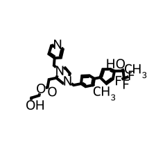 Cc1cc(CN2CCN(Cc3ccncc3)C(CC(=O)OCCO)C2)ccc1-c1ccc(C(C)(O)C(F)(F)F)cc1